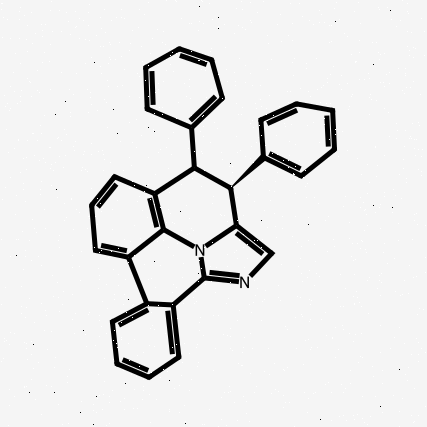 c1ccc(C2c3cccc4c5ccccc5c5ncc(n5c34)[C@@H]2c2ccccc2)cc1